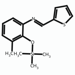 Cc1cccc(N=Cc2cccs2)c1O[Si](C)(C)C